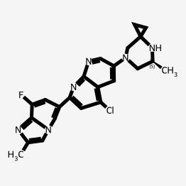 Cc1cn2cc(-c3cc(Cl)c4cc(N5C[C@H](C)NC6(CC6)C5)cnc4n3)cc(F)c2n1